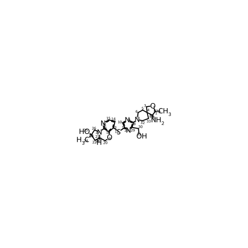 C[C@@H]1OCC2(CCN(c3ncc(Sc4ccnc5c4OC[C@@H]4C[C@@](C)(O)CN54)nc3CO)CC2)[C@@H]1N